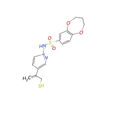 C=C(CS)c1ccc(NS(=O)(=O)c2ccc3c(c2)OCCCO3)nc1